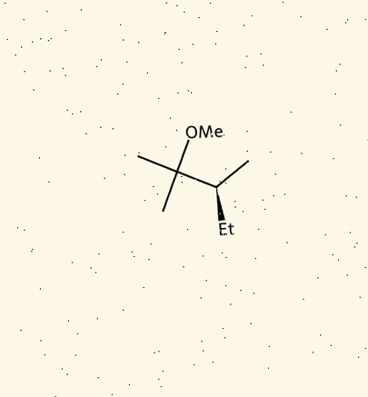 CC[C@H](C)C(C)(C)OC